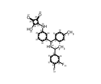 Cc1ccc(C(NC(C)c2ccc(F)c(F)c2)c2cccc(Nc3c(O)c(=O)c3=O)c2)cc1